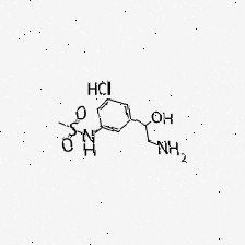 CS(=O)(=O)Nc1cccc(C(O)CN)c1.Cl